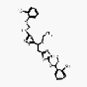 CCSC(Cc1nnc(OC(NC)c2ccccc2S)s1)c1nnc(NCOc2ccccc2S)s1